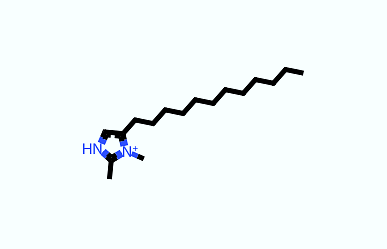 CCCCCCCCCCCCc1c[nH]c(C)[n+]1C